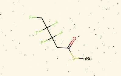 CCCCSC(=O)CC(F)(F)C(F)(F)CF